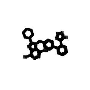 CCc1nnc(O)c2c1nc(C1CCCCC1)n2Cc1ccc(-c2ccccc2-c2nnn[nH]2)cc1